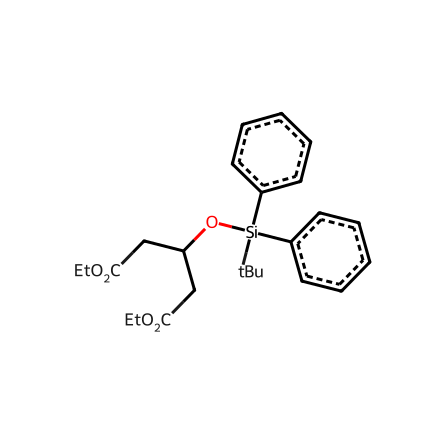 CCOC(=O)CC(CC(=O)OCC)O[Si](c1ccccc1)(c1ccccc1)C(C)(C)C